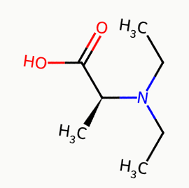 CCN(CC)[C@@H](C)C(=O)O